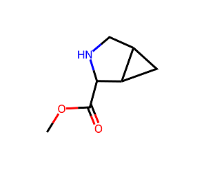 COC(=O)C1NCC2CC21